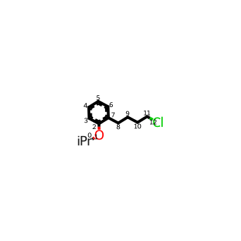 CC(C)Oc1ccccc1CCCCCl